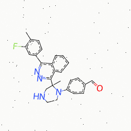 Cc1ccc(-c2nnc(C3(C)CNCCN3c3ccc(C=O)cc3)c3ccccc23)cc1F